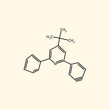 CC(C)(C)c1cc(-c2cc#ccc2)nc(-c2ccccc2)c1